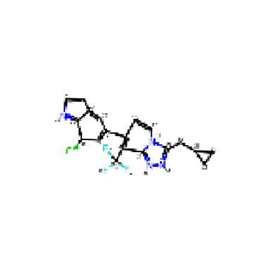 FC(F)(F)c1c(C2=CC(Cl)C3=NC=CC3=C2)ccn2c(CC3CC3)nnc12